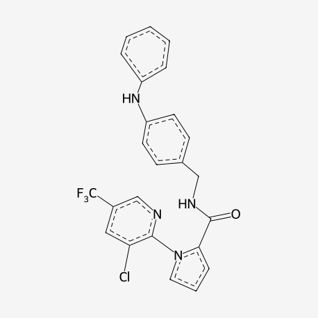 O=C(NCc1ccc(Nc2ccccc2)cc1)c1cccn1-c1ncc(C(F)(F)F)cc1Cl